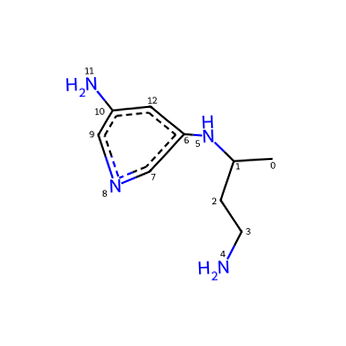 CC(CCN)Nc1cncc(N)c1